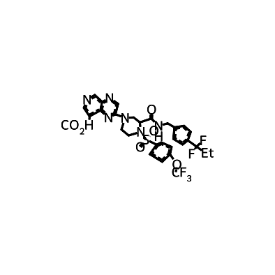 CCC(F)(F)c1ccc(CNC(=O)C2CN(c3cnc4cncc(C(=O)O)c4n3)CCN2S(=O)(=O)c2ccc(OC(F)(F)F)cc2)cc1